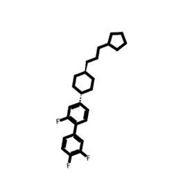 Fc1ccc(-c2ccc([C@H]3CC[C@H](CCCC4CCCC4)CC3)cc2F)cc1F